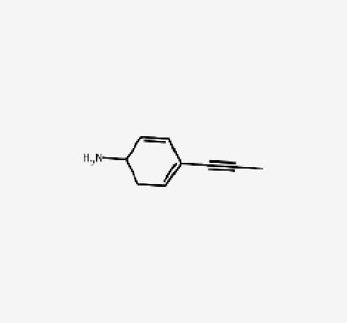 CC#CC1=CCC(N)C=C1